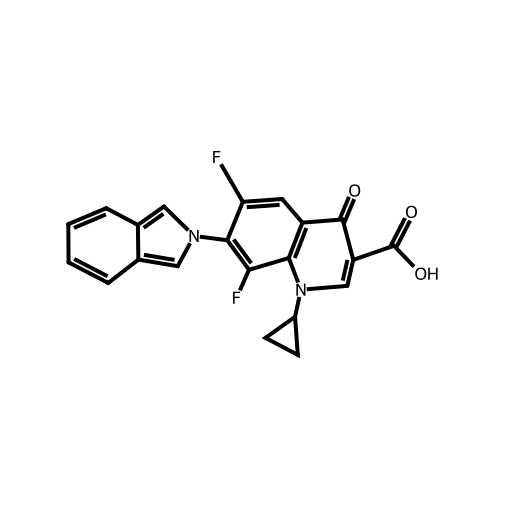 O=C(O)c1cn(C2CC2)c2c(F)c(-n3cc4ccccc4c3)c(F)cc2c1=O